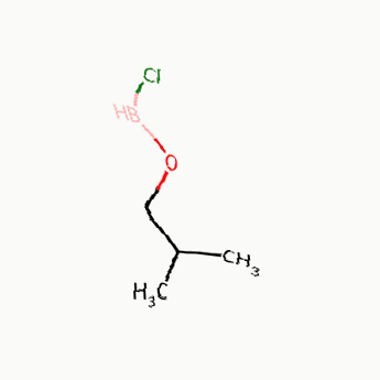 CC(C)COBCl